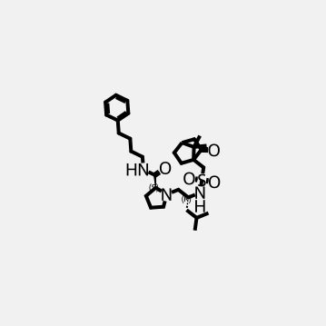 CC(C)C[C@H](CN1CCC[C@H]1C(=O)NCCCCc1ccccc1)NS(=O)(=O)CC12CCC(CC1=O)C2(C)C